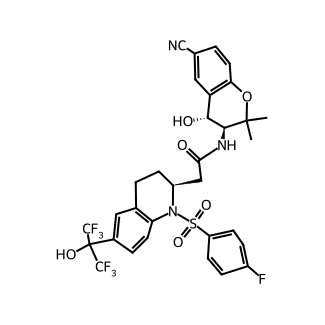 CC1(C)Oc2ccc(C#N)cc2[C@@H](O)[C@@H]1NC(=O)C[C@@H]1CCc2cc(C(O)(C(F)(F)F)C(F)(F)F)ccc2N1S(=O)(=O)c1ccc(F)cc1